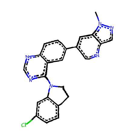 Cn1ncc2ncc(-c3ccc4ncnc(N5CCc6ccc(Cl)cc65)c4c3)cc21